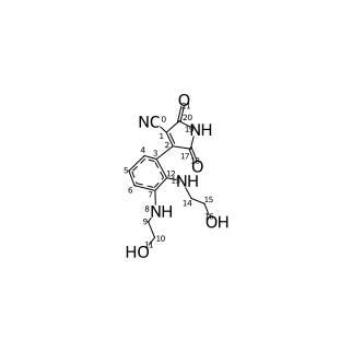 N#CC1=C(c2cccc(NCCO)c2NCCO)C(=O)NC1=O